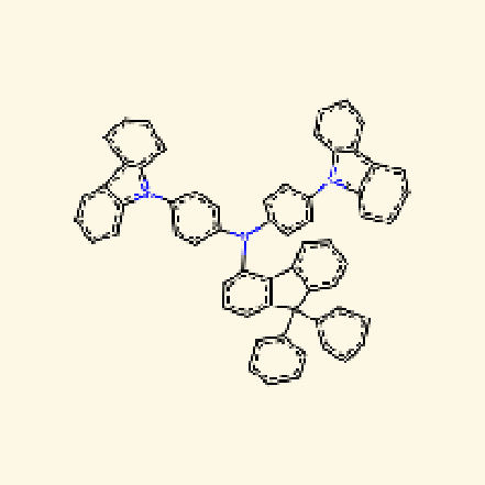 c1ccc(C2(c3ccccc3)c3ccccc3-c3c(N(c4ccc(-n5c6ccccc6c6ccccc65)cc4)c4ccc(-n5c6ccccc6c6ccccc65)cc4)cccc32)cc1